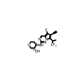 C#Cc1c(F)c2cnc(N[C@@H]3CCOC[C@H]3O)nn2c1C(C)C(F)(F)F